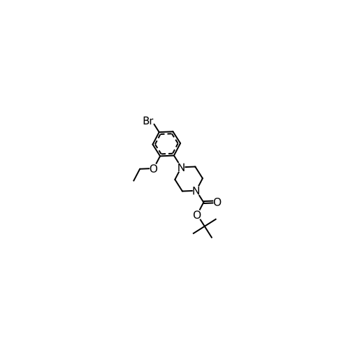 CCOc1cc(Br)ccc1N1CCN(C(=O)OC(C)(C)C)CC1